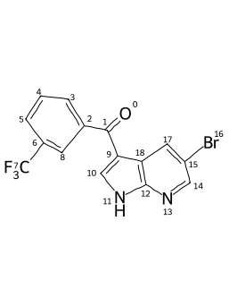 O=C(c1cccc(C(F)(F)F)c1)c1c[nH]c2ncc(Br)cc12